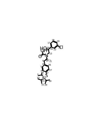 CC(C)[Si](Sc1ccc(C[C@@H](C)N(C[C@H](O)c2cccc(Cl)c2)C(=O)O)cc1)(C(C)C)C(C)C